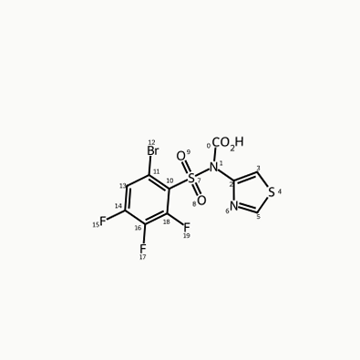 O=C(O)N(c1cscn1)S(=O)(=O)c1c(Br)cc(F)c(F)c1F